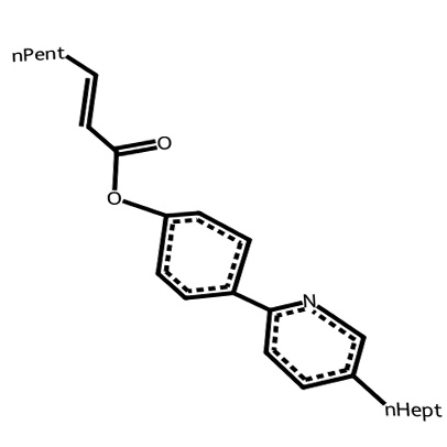 CCCCCC=CC(=O)Oc1ccc(-c2ccc(CCCCCCC)cn2)cc1